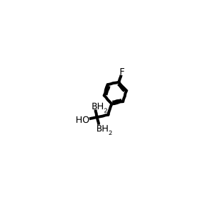 BC(B)(O)Cc1ccc(F)cc1